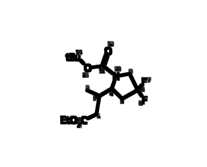 CCOC(=O)CC(C)C1CC(F)(F)CN1C(=O)OC(C)(C)C